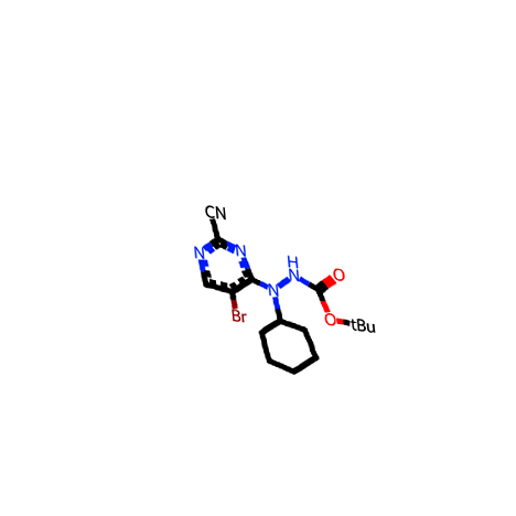 CC(C)(C)OC(=O)NN(c1nc(C#N)ncc1Br)C1CCCCC1